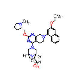 COCOc1cc(N2CCc3c(nc(OC[C@@H]4CCCN4C)nc3N3C[C@@H]4C[C@H](CO)[C@H](C3)N4C(=O)O)C2)c2ccccc2c1